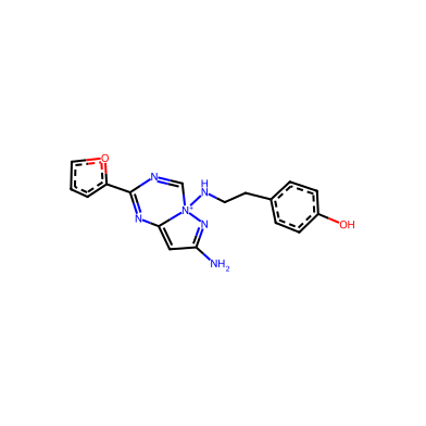 NC1=N[N+]2(NCCc3ccc(O)cc3)C=NC(c3ccco3)=NC2=C1